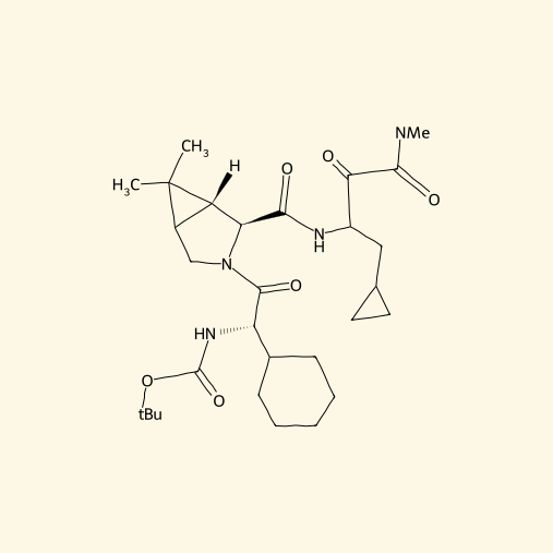 CNC(=O)C(=O)C(CC1CC1)NC(=O)[C@@H]1[C@@H]2C(CN1C(=O)[C@@H](NC(=O)OC(C)(C)C)C1CCCCC1)C2(C)C